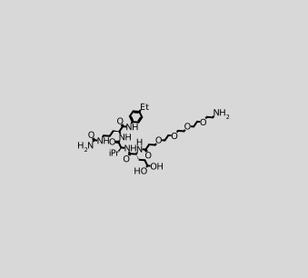 CCc1ccc(NC(=O)[C@H](CCCNC(N)=O)NC(=O)[C@@H](NC(=O)[C@@H](CCC(O)O)NC(=O)CCOCCOCCOCCOCCN)C(C)C)cc1